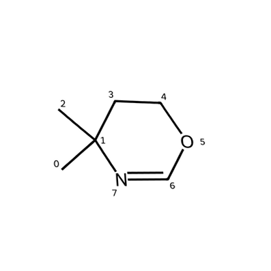 CC1(C)CCOC=N1